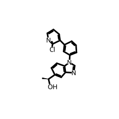 C[C@H](O)c1ccc2c(c1)ncn2-c1cccc(-c2cccnc2Cl)c1